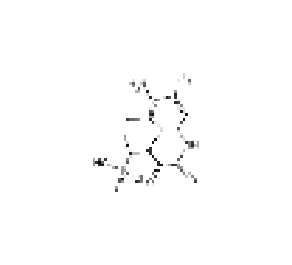 Nc1c(C(F)(F)F)cc2[nH]c(=O)c(=O)n3c2c1CCC3P(=O)(O)O